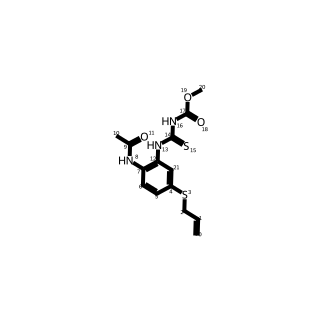 C=CCSc1ccc(NC(C)=O)c(NC(=S)NC(=O)OC)c1